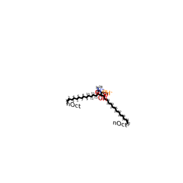 CCCCCCCC/C=C\CCCCCCCCCCCC(=O)C(O)(C(=O)CCCCCCCCCCC/C=C\CCCCCCCC)C([PH-])[N+](C)(C)C